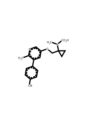 Cc1ncc(OCC2(N(C)C(=O)O)CC2)cc1-c1ccc(C#N)cc1